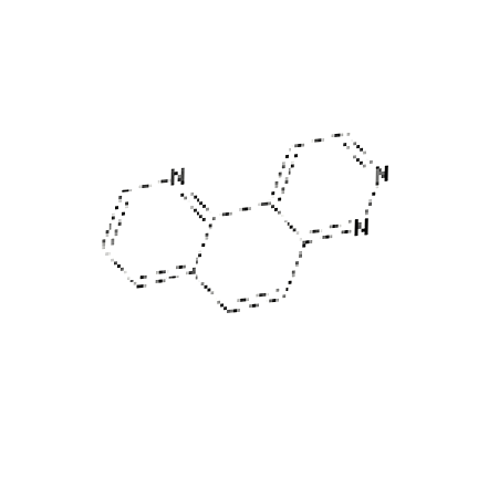 c1cnc2c(c1)ccc1nnccc12